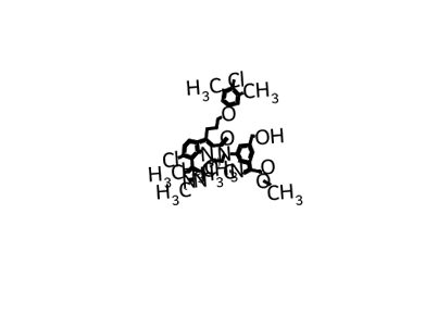 CCOC(=O)c1cn(C)c2c(N3C[C@@H](C)n4c(c(CCCOc5cc(C)c(Cl)c(C)c5)c5ccc(Cl)c(-c6c(C)nn(C)c6C)c54)C3=O)cc(CO)cc12